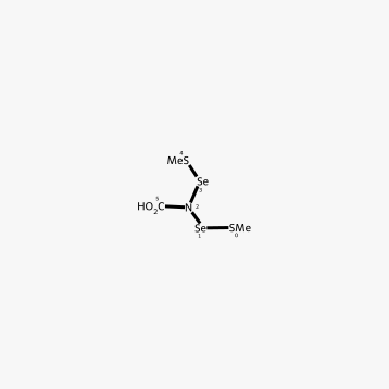 CS[Se]N([Se]SC)C(=O)O